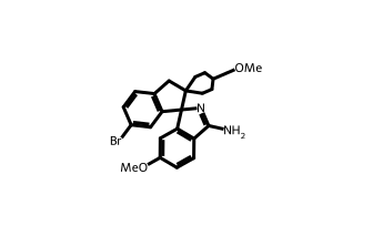 COc1ccc2c(c1)C1(N=C2N)c2cc(Br)ccc2CC12CCC(OC)CC2